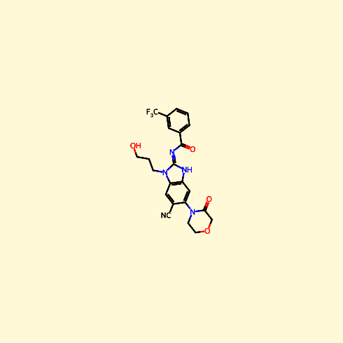 N#Cc1cc2c(cc1N1CCOCC1=O)[nH]/c(=N\C(=O)c1cccc(C(F)(F)F)c1)n2CCCO